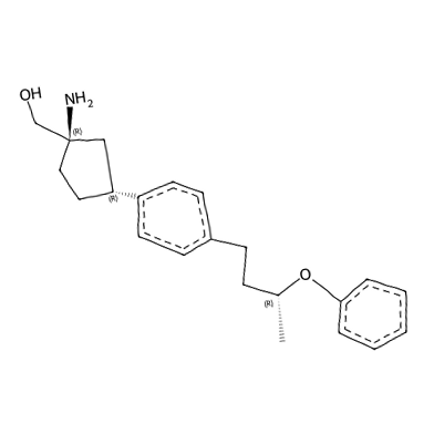 C[C@H](CCc1ccc([C@@H]2CC[C@](N)(CO)C2)cc1)Oc1ccccc1